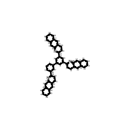 c1cc(-c2cc(-c3ccc4cc5ccccc5cc4n3)cc(-c3ccc4cc5ccccc5cc4n3)c2)cc(-c2ccc3cc4ccccc4cc3n2)c1